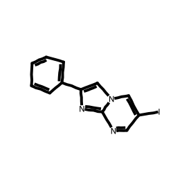 Ic1cnc2nc(-c3ccccc3)cn2c1